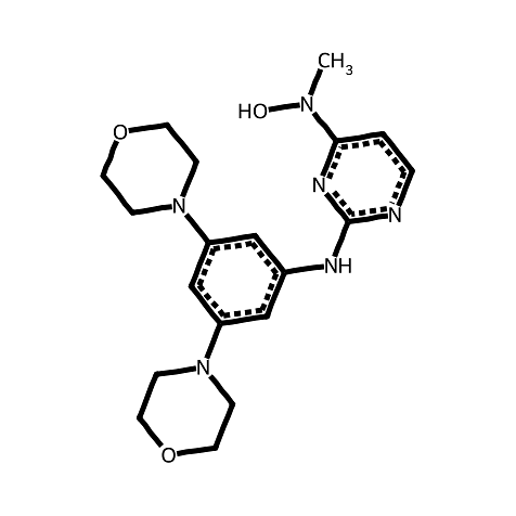 CN(O)c1ccnc(Nc2cc(N3CCOCC3)cc(N3CCOCC3)c2)n1